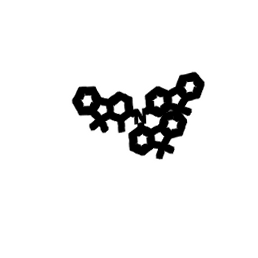 CC1C(N(c2ccc3c(c2)C(C)(C)c2ccccc2-3)c2cccc3c2-c2ccccc2C3(C)C)=CC=C2c3ccccc3C(C)(C)C21